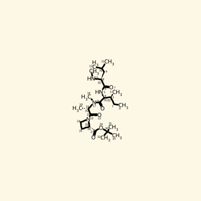 CC[C@H](C)[C@H](NC(=O)[C@H](CC(C)C)NC)C(=O)N(C)[C@@H](C)C(=O)N1CC[C@H]1C(=O)OC(C)(C)C